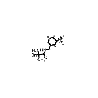 CC(C)(Br)C(=O)NCc1cccc([N+](=O)[O-])c1